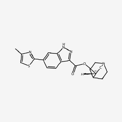 Cc1csc(-c2ccc3c(C(=O)O[C@@H]4CN5CCC4CC5)n[nH]c3c2)n1